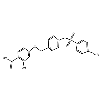 Cc1ccc(S(=O)(=O)Cc2ccc(COc3ccc(C(=O)O)c(O)c3)cc2)cc1